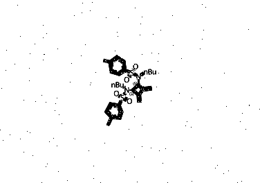 C=C1C(=C)[C@H](N(CCCC)S(=O)(=O)c2ccc(C)cc2)[C@H]1N(CCCC)S(=O)(=O)c1ccc(C)cc1